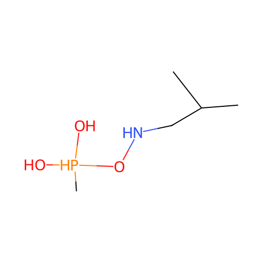 CC(C)CNO[PH](C)(O)O